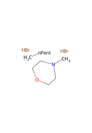 Br.Br.CCCCCC.CN1CCOCC1